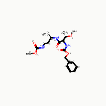 C[C@H](OC(C)(C)C)C(NC(=O)OCc1ccccc1)C(=O)N[C@@H](CCNC(=O)OC(C)(C)C)C(=O)O